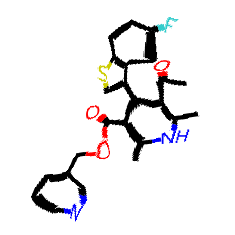 CC(=O)C1=C(C)NC(C)=C(C(=O)OCc2cccnc2)C1c1csc2ccc(F)cc12